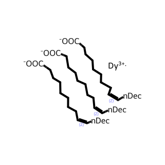 CCCCCCCCCC/C=C\CCCCCCCC(=O)[O-].CCCCCCCCCC/C=C\CCCCCCCC(=O)[O-].CCCCCCCCCC/C=C\CCCCCCCC(=O)[O-].[Dy+3]